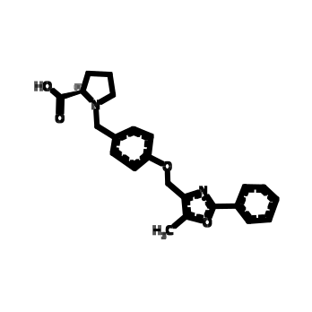 Cc1oc(-c2ccccc2)nc1COc1ccc(CN2CCC[C@@H]2C(=O)O)cc1